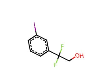 OCC(F)(F)c1cccc(I)c1